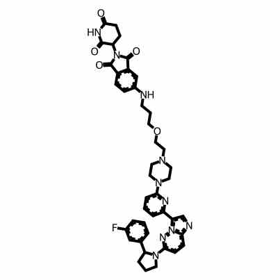 O=C1CCC(N2C(=O)c3ccc(NCCCOCCN4CCN(c5cccc(-c6cnc7ccc(N8CCCC8c8cccc(F)c8)nn67)n5)CC4)cc3C2=O)C(=O)N1